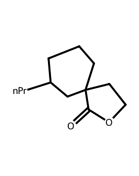 CCCC1CCCC2(CCOC2=O)C1